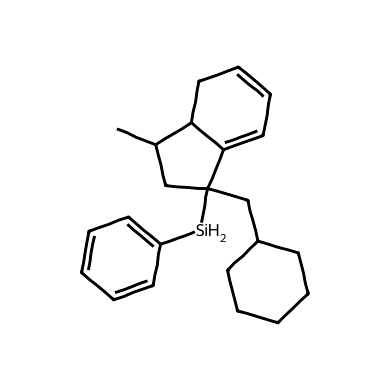 CC1CC(CC2CCCCC2)([SiH2]c2ccccc2)C2=CC=CCC21